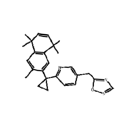 Cc1cc2c(cc1C1(c3ccc(Cc4ncno4)cn3)CC1)C(C)(C)C=CC2(C)C